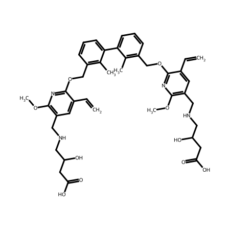 C=Cc1cc(CNCC(O)CC(=O)O)c(OC)nc1OCc1cccc(-c2cccc(COc3nc(OC)c(CNCC(O)CC(=O)O)cc3C=C)c2C)c1C